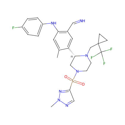 Cc1cc(Nc2ccc(F)cc2)c(C=N)cc1[C@H]1CN(S(=O)(=O)c2cnn(C)n2)CCN1CC1(C(F)(F)F)CC1